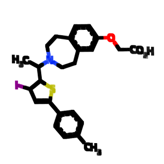 Cc1ccc(C2=CC(I)C(C(C)N3CCc4ccc(OCC(=O)O)cc4CC3)S2)cc1